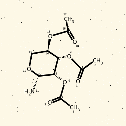 CC(=O)O[C@@H]1[C@H](OC(C)=O)[C@H](N)OC[C@H]1OC(C)=O